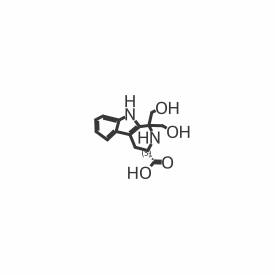 O=C(O)[C@@H]1Cc2c([nH]c3ccccc23)C(CO)(CO)N1